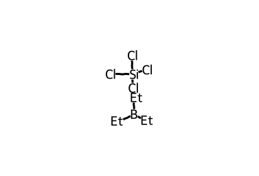 CCB(CC)CC.Cl[Si](Cl)(Cl)Cl